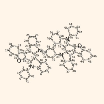 c1ccc(-n2c3ccccc3c3c2c2oc4ccccc4c2c2c4ccccc4n(-c4ccc(-n5c6ccccc6c6c7c8ccccc8oc7c7c(c8ccccc8n7-c7ccccc7)c65)cc4)c23)cc1